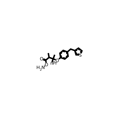 CCCC(C)(Oc1ccc(Cc2ccsc2)cc1)C(C)C(=O)ON